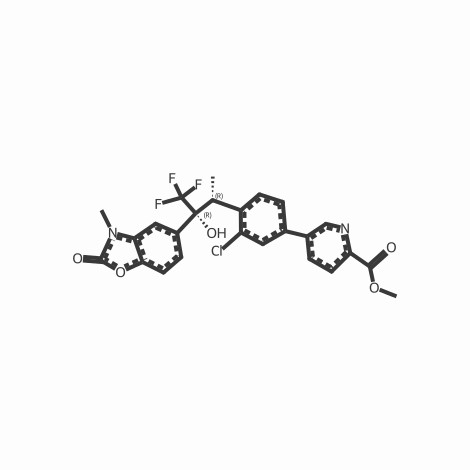 COC(=O)c1ccc(-c2ccc([C@@H](C)[C@@](O)(c3ccc4oc(=O)n(C)c4c3)C(F)(F)F)c(Cl)c2)cn1